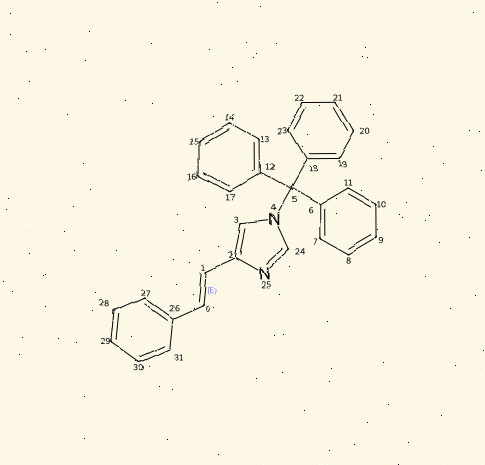 C(=C\c1cn(C(c2ccccc2)(c2ccccc2)c2ccccc2)cn1)/c1ccccc1